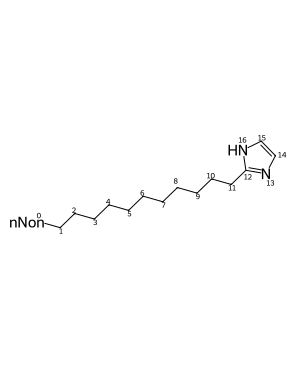 CCCCCCCCCCCCCCCCCCCCc1ncc[nH]1